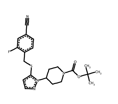 CC(C)(C)OC(=O)N1CCC(n2nccc2SCc2ccc(C#N)cc2F)CC1